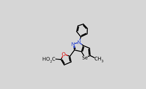 Cc1cc2c([se]1)c(-c1ccc(C(=O)O)o1)nn2-c1ccccc1